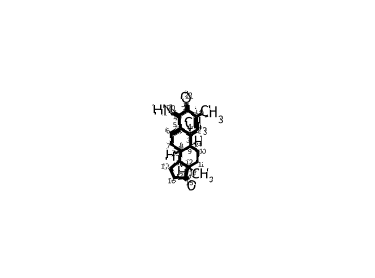 CC1=C[C@@]2(C)C(=CC[C@@H]3[C@@H]2CC[C@]2(C)C(=O)CC[C@@H]32)C(=N)C1=O